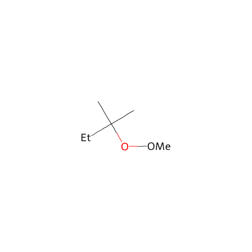 [CH2]OOC(C)(C)CC